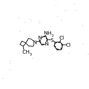 CC1CCC12CCN(c1cnc(Sc3cccc(Cl)c3Cl)c(N)n1)CC2